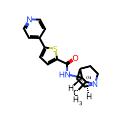 C[C@H]1[C@H](NC(=O)c2ccc(-c3ccncc3)s2)C2CCN1CC2